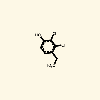 O=C(O)Cc1ccc(O)c(Cl)c1Cl